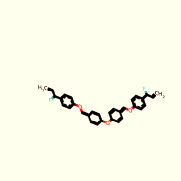 C=CC(F)c1ccc(OC=C2C=CC(OC3C=CC(=COc4ccc(C(F)C=C)cc4)C=C3)C=C2)cc1